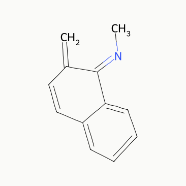 C=C1C=Cc2ccccc2/C1=N/C